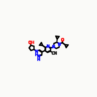 N#Cc1cc(/C(C=N)=C/NC2CCC(O)C2)c(C2CC2)nc1N1CCN(C(=O)C2CC2)[C@H](C2CC2)C1